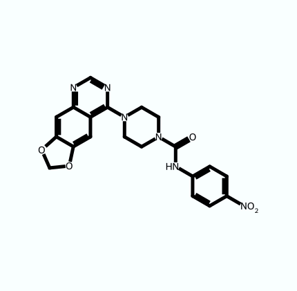 O=C(Nc1ccc([N+](=O)[O-])cc1)N1CCN(c2ncnc3cc4c(cc23)OCO4)CC1